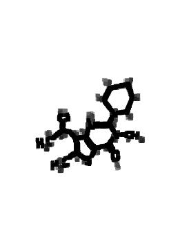 Cc1sc2c(=O)n(C)c(N3CCCCC3)nc2c1C(C)Cl